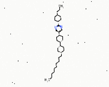 CCCCCCCCCC[C@H]1CC[C@H]([C@H]2CC[C@H](c3cnc([C@H]4CC[C@H](CCC)CC4)nc3)CC2)CC1